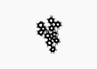 c1ccc(-c2ccc3c(c2)C(c2ccccc2)(c2ccccc2)c2cc(N(c4ccc(-c5ccccc5-c5ccccc5)cc4)c4cc5ccccc5c5ccccc45)ccc2-3)cc1